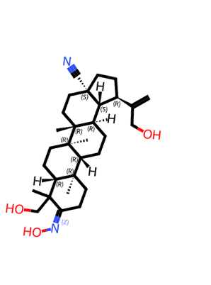 C=C(CO)[C@@H]1CC[C@]2(C#N)CC[C@]3(C)[C@H](CC[C@@H]4[C@@]5(C)CC/C(=N/O)C(C)(CO)[C@@H]5CC[C@]43C)[C@@H]12